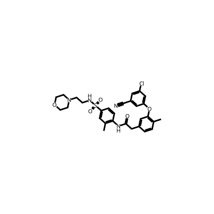 Cc1cc(S(=O)(=O)NCCN2CCOCC2)ccc1NC(=O)Cc1ccc(C)c(Oc2cc(Cl)cc(C#N)c2)c1